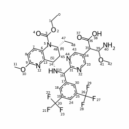 CCOC(=O)N1c2ccc(OC)nc2[C@@H](NC(c2cc(C(F)(F)F)cc(C(F)(F)F)c2)c2ncc(C(C(=O)O)C(N)OC)cn2)C[C@H]1CC